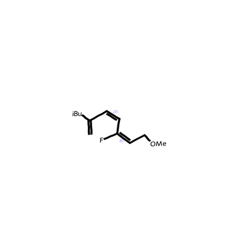 C=C(/C=C\C(F)=C/COC)C(C)CC